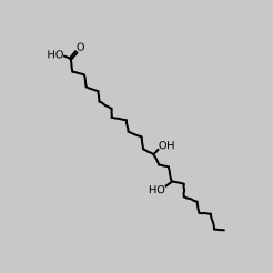 CCCCCCCC(O)CCC(O)CCCCCCCCCCCC(=O)O